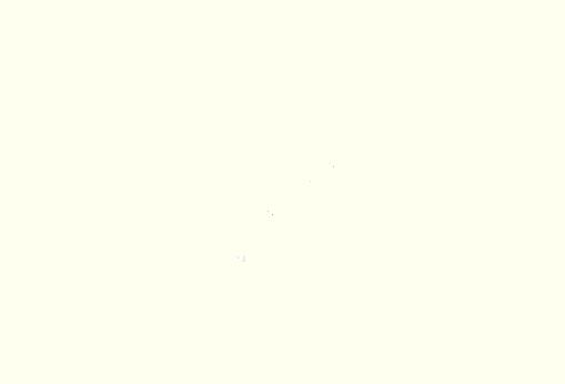 CC(C)C1=CC(NC(=O)C(C)N)C(=O)N(C)C=C1